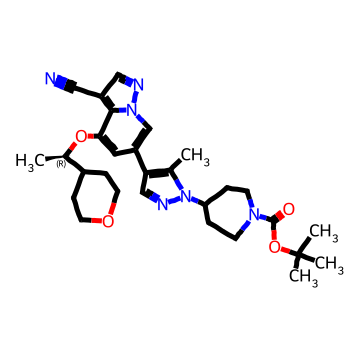 Cc1c(-c2cc(O[C@H](C)C3CCOCC3)c3c(C#N)cnn3c2)cnn1C1CCN(C(=O)OC(C)(C)C)CC1